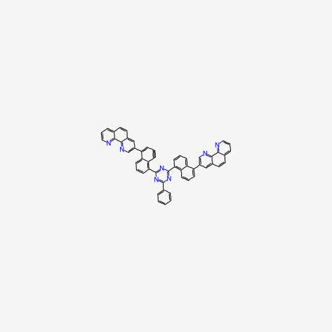 c1cc(-c2cnc3c(ccc4cccnc43)c2)c2cccc(-c3nc(-c4ccccc4)nc(-c4cccc5c(-c6cnc7c(ccc8cccnc87)c6)cccc45)n3)c2c#1